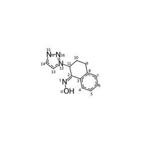 ON=C1c2ccccc2CCC1n1ccnn1